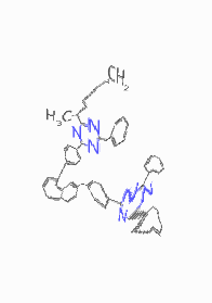 C=C/C=C\C=C(/C)c1nc(-c2ccccc2)nc(-c2ccc(-c3cccc4ccc(-c5ccc(-c6nc(-c7ccccc7)nc(-c7ccccc7)n6)cc5)cc34)cc2)n1